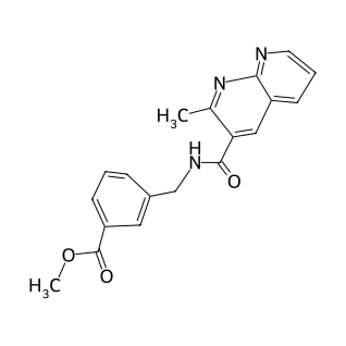 COC(=O)c1cccc(CNC(=O)c2cc3cccnc3nc2C)c1